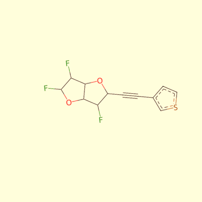 FC1OC2C(F)C(C#Cc3ccsc3)OC2C1F